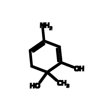 CC1(O)CC=C(N)C=C1O